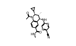 CNC(=O)c1ccc2c(c1)[C@H](Nc1cnc(C#N)cn1)[C@@H](C)[C@H](C1CC1)N2C(C)=O